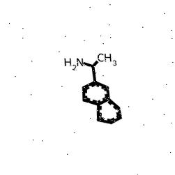 CC(N)c1ccc2ccccc2c1